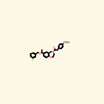 COc1ccc(CC(=O)N2CCOc3ccc(C(C)OCc4cccc(F)c4)cc3C2)cc1